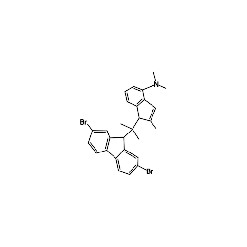 CC1=Cc2c(cccc2N(C)C)C1C(C)(C)C1c2cc(Br)ccc2-c2ccc(Br)cc21